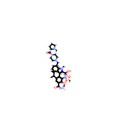 CCC(C)c1cc(C(N)=O)c(OC)c(NS(C)(=O)=O)c1-c1c(C(=O)O)n(C)c2c(CN3CCN(C(=O)[C@@H]4CCCN4C)CC3)cccc12